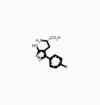 N[C@@H](Cc1c(O)noc1-c1ccc(F)cc1)C(=O)O